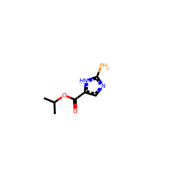 CC(C)OC(=O)c1cnc(P)[nH]1